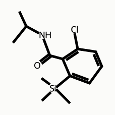 CC(C)NC(=O)c1c(Cl)cccc1[Si](C)(C)C